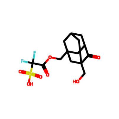 O=C1C2CC3CC(COC(=O)C(F)(F)S(=O)(=O)O)(C2)CC1(CO)C3